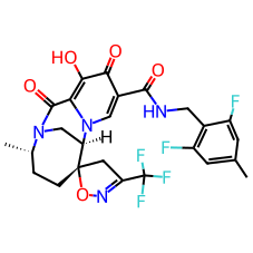 Cc1cc(F)c(CNC(=O)c2cn3c(c(O)c2=O)C(=O)N2C[C@@H]3[C@]3(CC[C@@H]2C)CC(C(F)(F)F)=NO3)c(F)c1